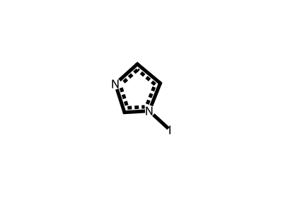 In1ccnc1